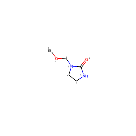 CCOCN1CCNC1=O